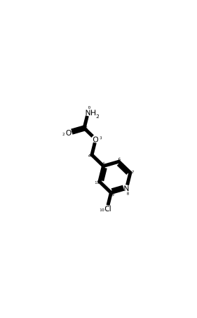 NC(=O)OCc1ccnc(Cl)c1